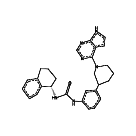 O=C(Nc1cccc(C2CCCN(c3ncnc4[nH]ccc34)C2)c1)N[C@H]1CCCc2ccccc21